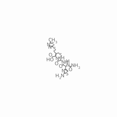 Cc1nnc(SCC2=C(C(=O)O)N3C(=O)[C@H](NC(=O)C(NC(N)=O)c4csc(N)n4)[C@@H]3SC2)s1